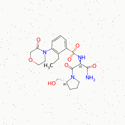 CCc1c(N2CCOCC2=O)cccc1S(=O)(=O)N[C@@H](C(N)=O)C(=O)N1CCC[C@@H]1CO